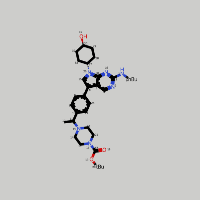 CCCCNc1ncc2c(-c3ccc(C(C)N4CCN(C(=O)OC(C)(C)C)CC4)cc3)cn([C@H]3CC[C@H](O)CC3)c2n1